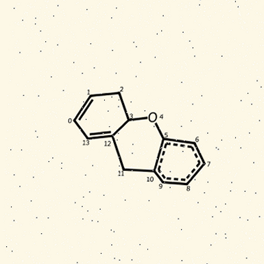 C1=CCC2Oc3ccccc3CC2=C1